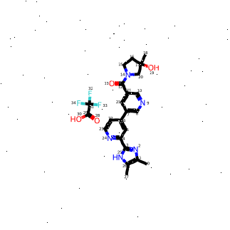 Cc1nc(-c2cc(-c3cncc(C(=O)N4CCC(C)(O)C4)c3)ccn2)[nH]c1C.O=C(O)C(F)(F)F